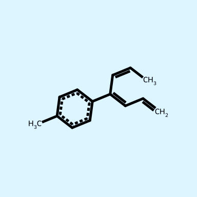 C=C/C=C(\C=C/C)c1ccc(C)cc1